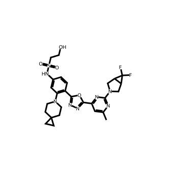 Cc1cc(-c2nnc(-c3ccc(NS(=O)(=O)CCO)cc3N3CCC4(CC3)CC4)o2)nc(N2CC3C(C2)C3(F)F)n1